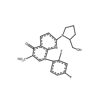 O=C(O)c1cn(-c2ccc(F)cc2F)c2nc(N3CCCC3CO)ccc2c1=O